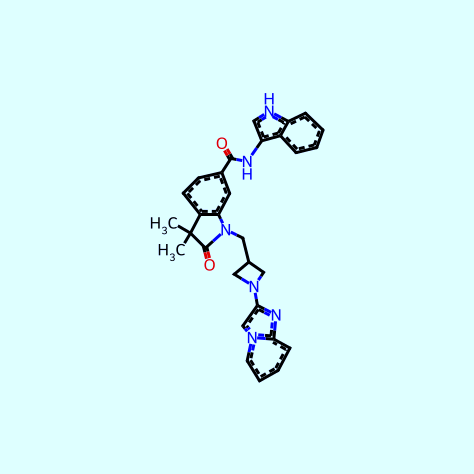 CC1(C)C(=O)N(CC2CN(c3cn4ccccc4n3)C2)c2cc(C(=O)Nc3c[nH]c4ccccc34)ccc21